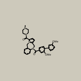 COc1cccc(-c2ccc(C(=O)N3Cc4ccc(C(=O)N5CCN(C)CC5)n4Cc4ccccc43)cc2OC)c1